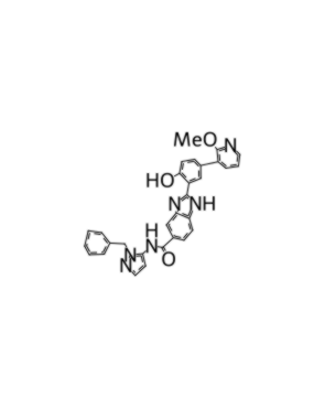 COc1ncccc1-c1ccc(O)c(-c2nc3cc(C(=O)Nc4ccnn4Cc4ccccc4)ccc3[nH]2)c1